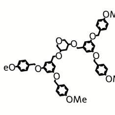 COc1ccc(COc2cc(COC3COCC(OCc4cc(OCc5ccc(OC)cc5)cc(OCc5ccc(OC)cc5)c4)C3)cc(OCc3ccc(OC)cc3)c2)cc1